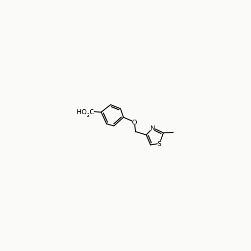 Cc1nc(COc2ccc(C(=O)O)cc2)cs1